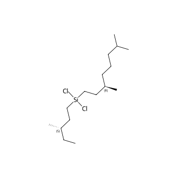 CC[C@H](C)CC[Si](Cl)(Cl)CC[C@H](C)CCCC(C)C